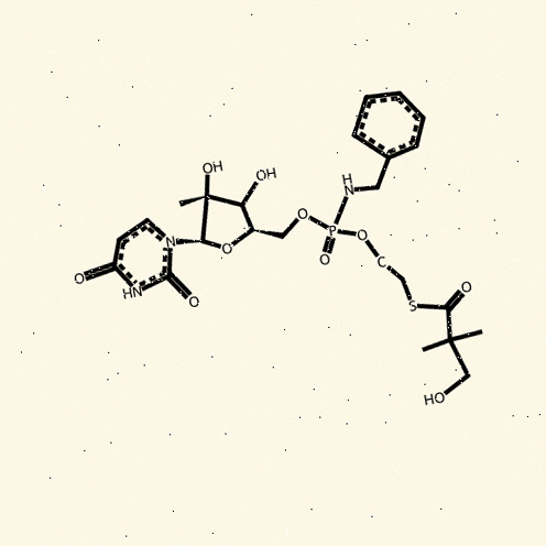 CC(C)(CO)C(=O)SCCOP(=O)(NCc1ccccc1)OC[C@H]1O[C@@H](n2ccc(=O)[nH]c2=O)[C@](C)(O)C1O